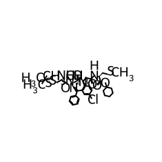 CSCC[C@H](NC(=O)CN1C(=O)C(N(C)C(=O)C(N)CSSC(C)(C)C)N=C(c2ccccc2)c2cc(Cl)ccc21)C(=O)OC1CCCCC1